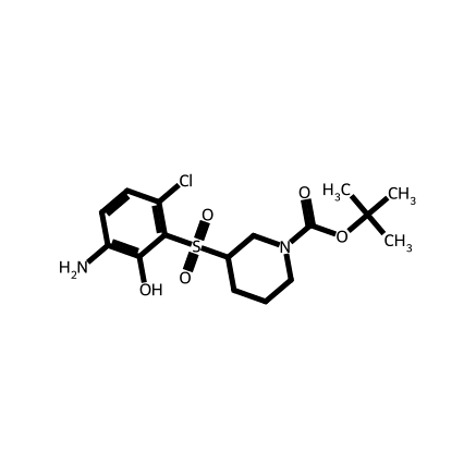 CC(C)(C)OC(=O)N1CCCC(S(=O)(=O)c2c(Cl)ccc(N)c2O)C1